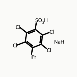 CC(C)c1c(Cl)c(Cl)c(S(=O)(=O)O)c(Cl)c1Cl.[NaH]